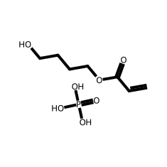 C=CC(=O)OCCCCO.O=P(O)(O)O